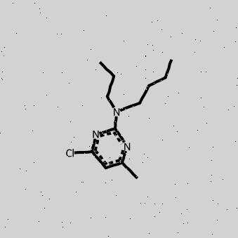 CCCCN(CCC)c1nc(C)cc(Cl)n1